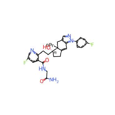 CCCC12Cc3cnn(-c4ccc(F)cc4)c3C=C1CC[C@@]2(O)CCc1ncc(F)cc1C(=O)NCC(N)=O